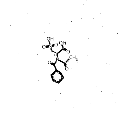 CC(=O)N(C(=O)c1ccccc1)[C@@H](CS(=O)(=O)O)C(=O)O